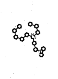 c1ccc(-c2cccc(-c3cccc(-c4cccc(-c5cccc(-c6cc(-c7ccc(-c8cccc(-n9c%10ccccc%10c%10ccccc%109)c8)cc7)nc(-c7cccc(-c8cccc(-c9ccccc9)c8)c7)n6)c5)c4)c3)c2)cc1